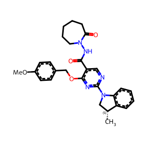 COc1ccc(COc2nc(N3C[C@@H](C)c4ccccc43)ncc2C(=O)NN2CCCCCC2=O)cc1